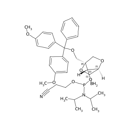 B[C@@H]1O[C@@]2(COC(c3ccccc3)(c3ccc(OC)cc3)c3ccc(OC)cc3)CO[C@@H]1[C@@H]2OP(OCCC#N)N(C(C)C)C(C)C